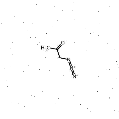 CC(=O)[CH]N=[N+]=[N-]